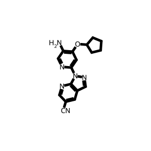 N#Cc1cnc2c(cnn2-c2cc(OC3CCCC3)c(N)cn2)c1